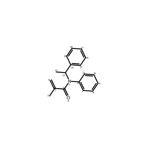 C=C(C)C(=O)N(c1ccccc1)C(C)c1ccccc1